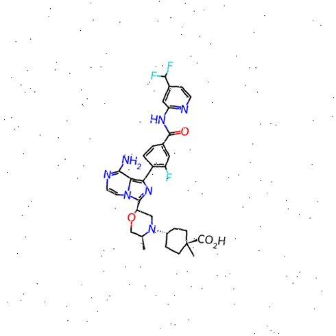 C[C@H]1CO[C@@H](c2nc(-c3ccc(C(=O)Nc4cc(C(F)F)ccn4)cc3F)c3c(N)nccn23)CN1[C@H]1CC[C@](C)(C(=O)O)CC1